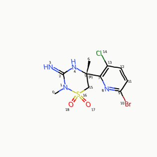 CN1C(=N)N[C@](C)(c2nc(Br)ccc2Cl)CS1(=O)=O